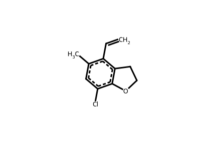 C=Cc1c(C)cc(Cl)c2c1CCO2